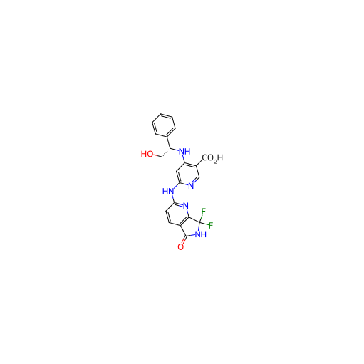 O=C(O)c1cnc(Nc2ccc3c(n2)C(F)(F)NC3=O)cc1N[C@H](CO)c1ccccc1